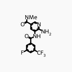 CNC(=O)c1cnc(N)c(NC(=O)c2cc(F)cc(C(F)(F)F)c2)c1